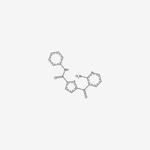 Nc1ncccc1C(=O)c1ccc(C(=O)Nc2ccccc2)s1